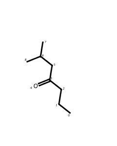 CCCC(=O)C[C](C)C